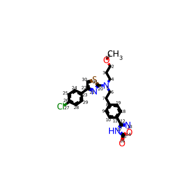 COCCCN(CCc1ccc(-c2noc(=O)[nH]2)cc1)c1nc(-c2ccc(Cl)cc2)cs1